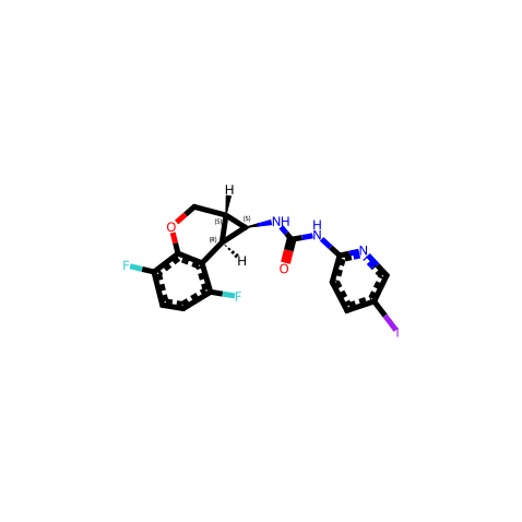 O=C(Nc1ccc(I)cn1)N[C@@H]1[C@H]2COc3c(F)ccc(F)c3[C@@H]21